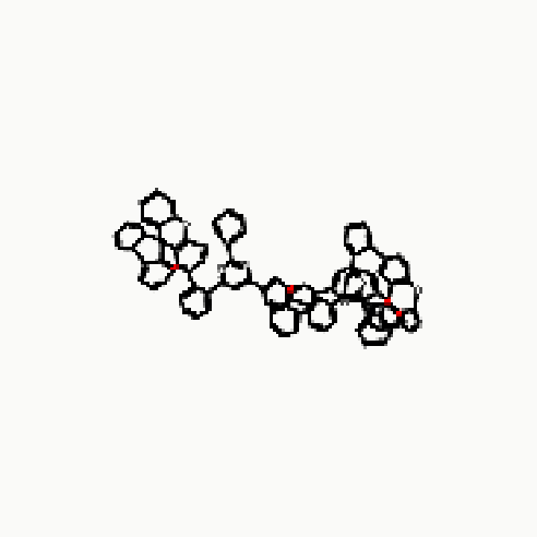 C1=CC2c3ccccc3C3(c4ccccc4Oc4ccc(-c5ccccc5-c5cc(-c6ccc(-c7cccc(-c8cccc9c8-c8ccccc8C98c9ccccc9Oc9ccc(-c%10ccccc%10-c%10cc(-c%11ccc%12ccccc%12c%11)nc(-c%11ccccc%11)n%10)cc98)c7)cc6)nc(-c6ccccc6)n5)cc43)C2C=C1